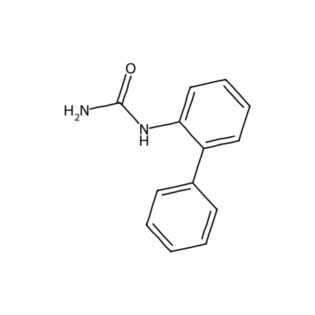 NC(=O)Nc1ccccc1-c1ccccc1